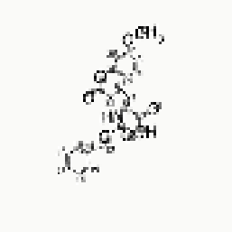 COc1ccc2c(C[C@H](NC(=O)OCc3ccccc3)C(=O)O)cc(=O)oc2c1